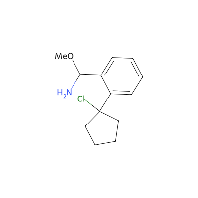 COC(N)c1ccccc1C1(Cl)CCCC1